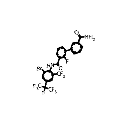 NC(=O)c1cccc(-c2cccc(C(=O)Nc3c(Br)cc(C(F)(C(F)(F)F)C(F)(F)F)cc3C(F)(F)F)c2F)c1